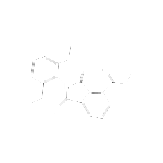 CCc1cccc(CC)c1N1C(=O)c2cccc(C(=O)OC)c2C1=O